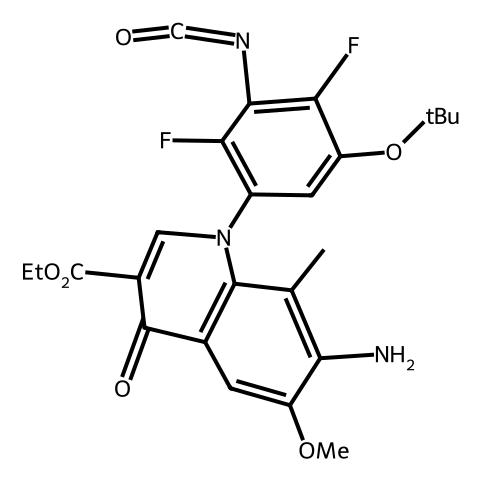 CCOC(=O)c1cn(-c2cc(OC(C)(C)C)c(F)c(N=C=O)c2F)c2c(C)c(N)c(OC)cc2c1=O